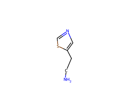 NCCc1cncs1